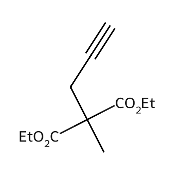 C#CCC(C)(C(=O)OCC)C(=O)OCC